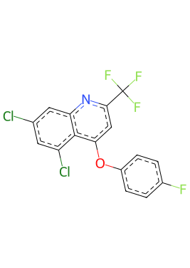 Fc1ccc(Oc2cc(C(F)(F)F)nc3cc(Cl)cc(Cl)c23)cc1